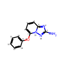 Nc1nc2cccc(Oc3ccccc3)n2n1